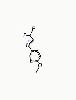 COc1ccc(/N=C/C(F)F)cc1